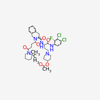 CC(=O)OC1CCN(CCC(NC(=O)[C@@H]2Cc3ccccc3CN2C(=O)CCC(=O)N2CCCCC2(C)C)C(=O)Nc2ccc(Cl)c(Cl)c2F)CC1